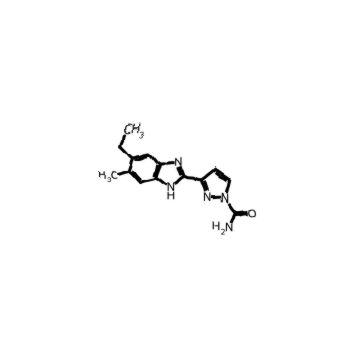 CCc1cc2nc(-c3[c]cn(C(N)=O)n3)[nH]c2cc1C